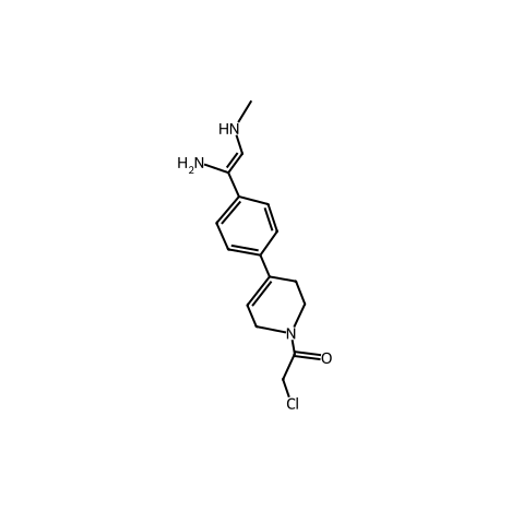 CN/C=C(\N)c1ccc(C2=CCN(C(=O)CCl)CC2)cc1